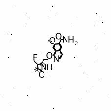 COc1cc2c(OCC[C@H]3NC(=O)[C@@H](C)C3CF)nccc2cc1C(N)=O